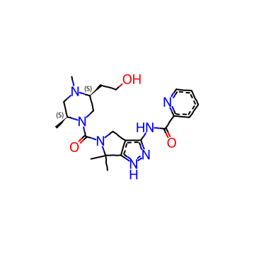 C[C@H]1CN(C)[C@@H](CCO)CN1C(=O)N1Cc2c(NC(=O)c3ccccn3)n[nH]c2C1(C)C